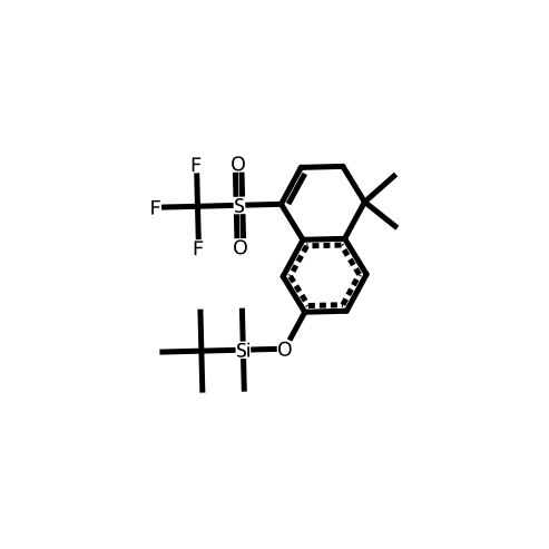 CC1(C)CC=C(S(=O)(=O)C(F)(F)F)c2cc(O[Si](C)(C)C(C)(C)C)ccc21